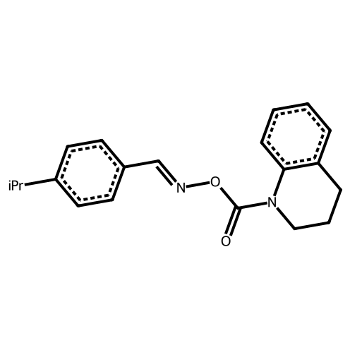 CC(C)c1ccc(C=NOC(=O)N2CCCc3ccccc32)cc1